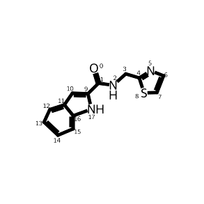 O=C(NCc1nccs1)c1cc2ccccc2[nH]1